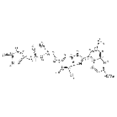 COc1cnc2c(-c3nc4c(Cl)c(F)c(OC[C@@H](C)OC(=O)Nc5cnc(Cl)nc5)cc4s3)cc(C)cc2n1